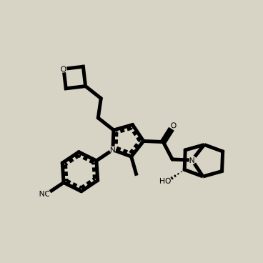 Cc1c(C(=O)CN2C3CCC2[C@H](O)C3)cc(CCC2COC2)n1-c1ccc(C#N)cc1